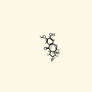 COc1cc2c(cc1O)N=C[C@@H]1C[C@H](F)CC1C2=O